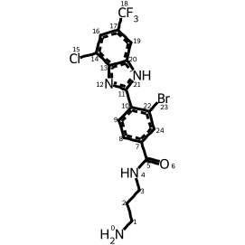 NCCCNC(=O)c1ccc(-c2nc3c(Cl)cc(C(F)(F)F)cc3[nH]2)c(Br)c1